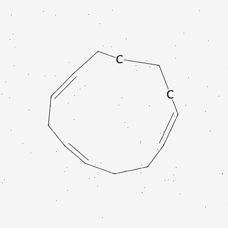 C1=CCCC=CCCCCC=CC1